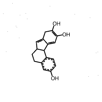 OC1=C(O)CC2=CC3CCc4cc(O)ccc4C3C2=C1